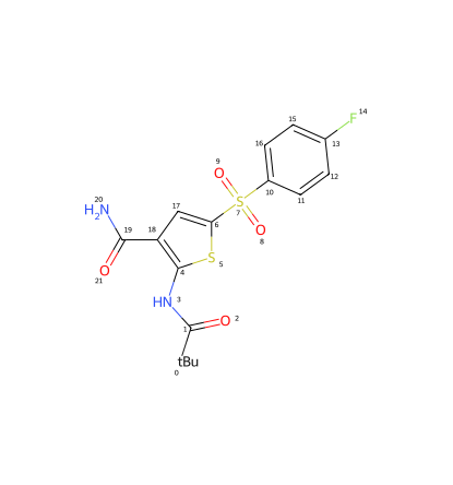 CC(C)(C)C(=O)Nc1sc(S(=O)(=O)c2ccc(F)cc2)cc1C(N)=O